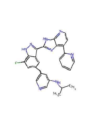 CC(C)Nc1cncc(-c2cc(F)c3[nH]nc(-c4nc5c(-c6ccccn6)ccnc5[nH]4)c3c2)c1